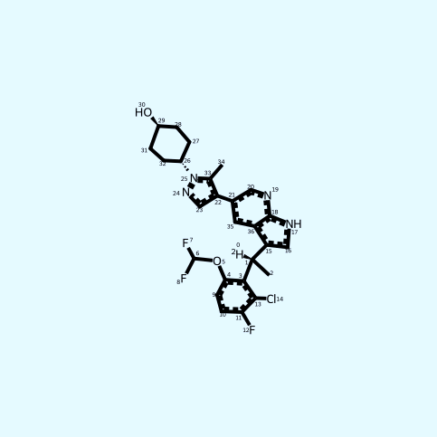 [2H][C@@](C)(c1c(OC(F)F)ccc(F)c1Cl)c1c[nH]c2ncc(-c3cnn([C@H]4CC[C@H](O)CC4)c3C)cc12